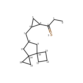 CCC(=S)C1CC1CC1CC2(CCC2)C2(CC2)C1